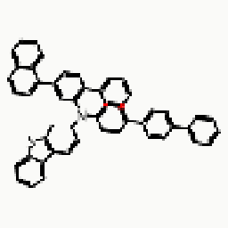 Cc1sc2ccccc2c1/C=C\CN(c1ccc(-c2ccc(-c3ccccc3)cc2)cc1)c1cc(-c2cccc3ccccc23)ccc1-c1ccccc1